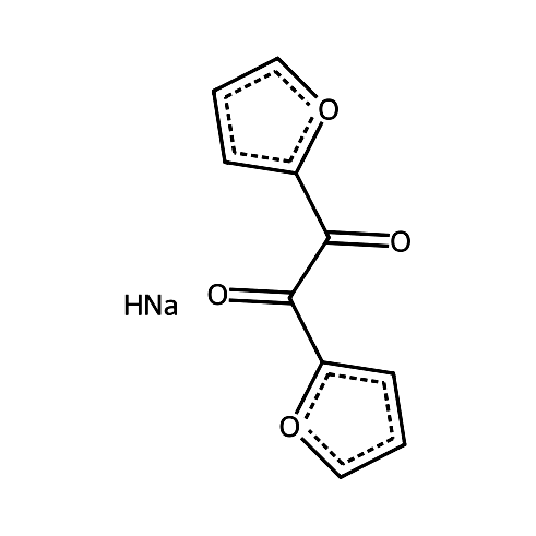 O=C(C(=O)c1ccco1)c1ccco1.[NaH]